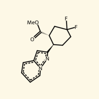 COC(=O)[C@@H]1CC(F)(F)CC[C@H]1c1cc2ccccn2n1